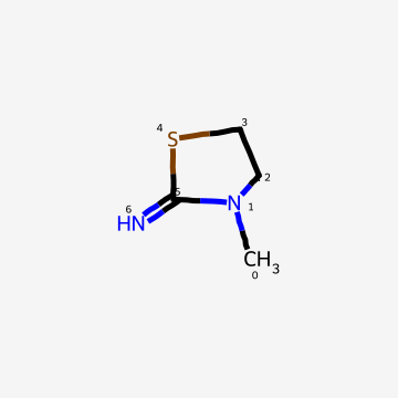 CN1[CH]CSC1=N